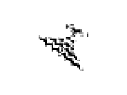 CCCCCCOCCCCCC.CCCCOCCCC.COCOC.C[S+](C)[O-].OCCO